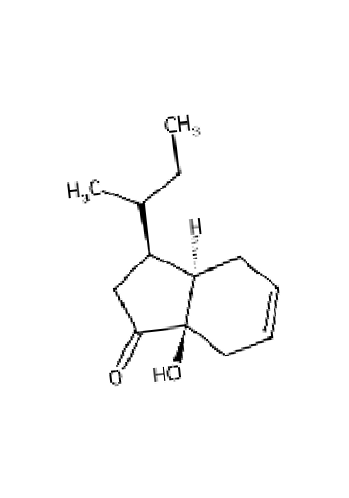 CCC(C)[C@@H]1CC(=O)[C@@]2(O)CC=CC[C@H]12